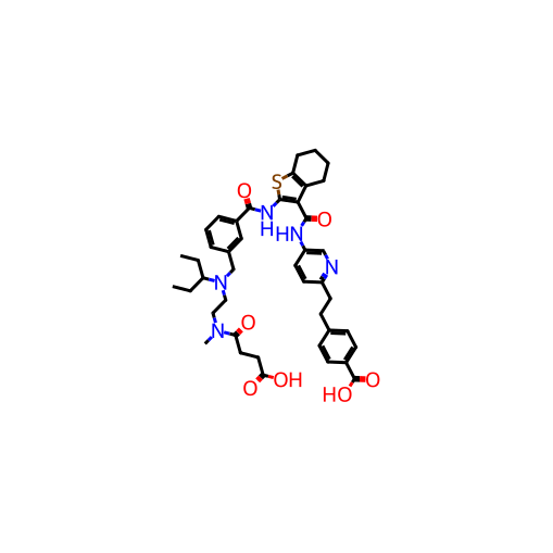 CCC(CC)N(CCN(C)C(=O)CCC(=O)O)Cc1cccc(C(=O)Nc2sc3c(c2C(=O)Nc2ccc(CCc4ccc(C(=O)O)cc4)nc2)CCCC3)c1